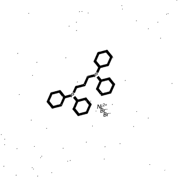 C1CCC(P(CCCP(C2CCCCC2)C2CCCCC2)C2CCCCC2)CC1.[Br-].[Br-].[Ni+2]